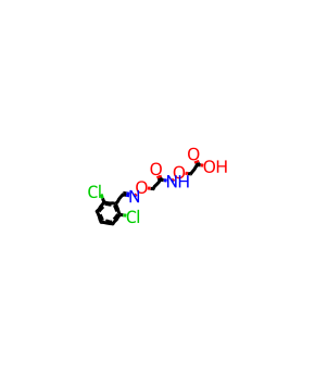 O=C(O)CONC(=O)CON=Cc1c(Cl)cccc1Cl